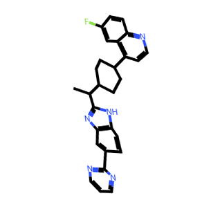 CC(c1nc2cc(-c3ncccn3)ccc2[nH]1)C1CCC(c2ccnc3ccc(F)cc23)CC1